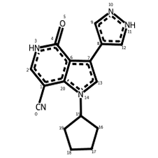 N#Cc1c[nH]c(=O)c2c(-c3cn[nH]c3)cn(C3CCCC3)c12